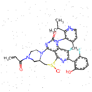 C=CC(=O)N1CCN2c3nc(=O)n(-c4c(C)ccnc4C(C)C)c4c(F)c(-c5c(O)cccc5F)nc(c34)[S+]([O-])CC2C1